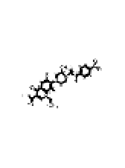 CCn1cc(C(=O)O)c(=O)c2cc(F)c(N3CCN(C(=O)Nc4ccc([N+](=O)[O-])cc4)C(C)C3)c(F)c21